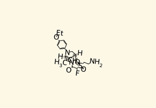 CCOc1ccc(N2C[C@H]3CN(C(=O)C(F)S(=O)(=O)CCN)C[C@@H]2C(C)(C)C3)cc1